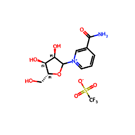 NC(=O)c1ccc[n+](C2O[C@H](CO)[C@@H](O)[C@H]2O)c1.O=S(=O)([O-])C(F)(F)F